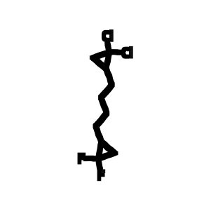 FC1(F)CC1CCCCC1CC1(Cl)Cl